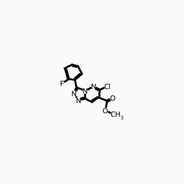 COC(=O)c1cc2nnc(-c3ccccc3F)n2nc1Cl